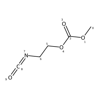 COC(=O)OCCN=C=O